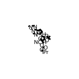 CC(C)OC(=O)OC[C@@]1(C#N)O[C@@H](c2ccc3c(/N=C\N(C)C)ncnn23)[C@@H]2OC(C)(C)O[C@@H]21